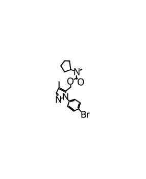 Cc1cnn(-c2ccc(Br)cc2)c1COC(=O)N(C)C1CCCC1